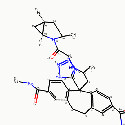 CCCC(CC1(c2nnn[nH]2)c2ccc(C(=O)NCC)cc2CCc2cc(C(=O)NCC)ccc21)NCC(=O)N1C(C#N)C[C@@H]2C[C@@H]21